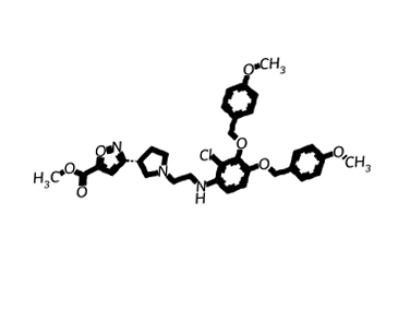 COC(=O)c1cc([C@@H]2CCN(CCNc3ccc(OCc4ccc(OC)cc4)c(OCc4ccc(OC)cc4)c3Cl)C2)no1